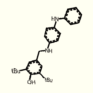 CC(C)(C)c1cc(CNc2ccc(Nc3ccccc3)cc2)cc(C(C)(C)C)c1O